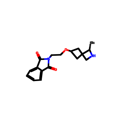 CC(C)(C)C1NCC12CC(OCCN1C(=O)c3ccccc3C1=O)C2